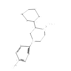 O=CN1CCN(c2ccc(Cl)cc2)CC1C1CCCCC1